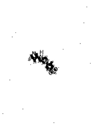 Cc1cc(S(C)(=O)=O)ncc1N1CCc2[nH]c(-c3cncc(F)c3C)cc2C1